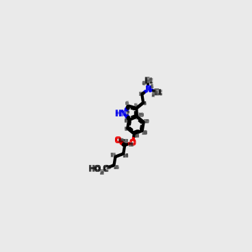 CCN(CC)CCc1c[nH]c2cc(OC(=O)CCCC(=O)O)ccc12